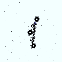 O=C(C=Cc1ccccc1)OCCN(CCOC(=O)/C=C/c1ccccc1)c1ccccc1